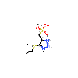 CCSC1=NN=NC1CS(=O)(=O)O